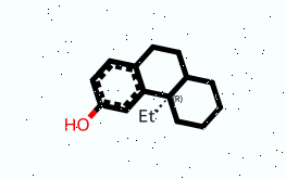 CC[C@@]12CCCCC1CCc1ccc(O)cc12